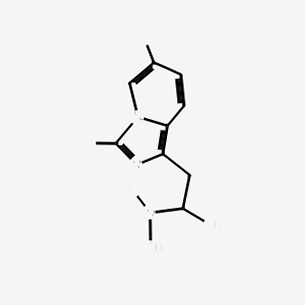 Cc1nc(CC(C)N(C)C)c2ccc(F)cn12